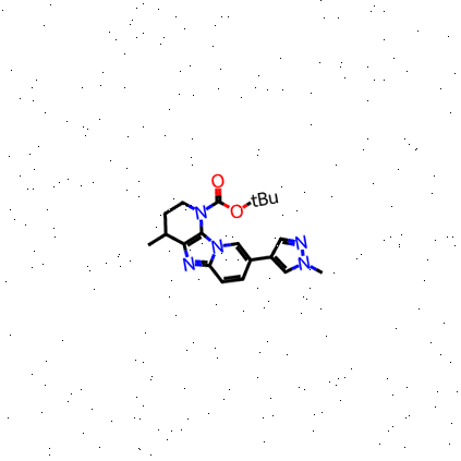 CC1CCN(C(=O)OC(C)(C)C)c2c1nc1ccc(-c3cnn(C)c3)cn21